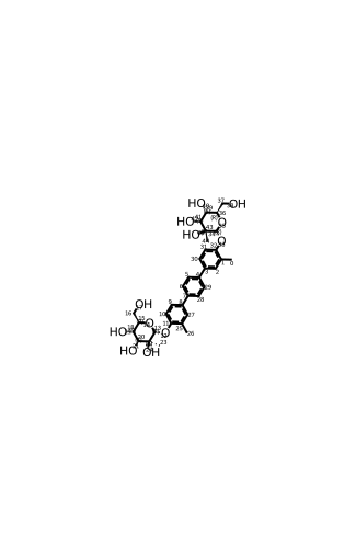 Cc1cc(-c2ccc(-c3ccc(O[C@H]4O[C@H](CO)[C@@H](O)[C@H](O)[C@]4(C)O)c(C)c3)cc2)ccc1O[C@H]1O[C@H](CO)[C@@H](O)[C@H](O)[C@@]1(C)O